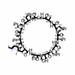 C/C=C/C[C@@H](C)CC1C(=O)N[C@@H](CC)C(=O)N(C)C(CO)C(=O)N(C)[C@@H](CC(C)C)C(=O)N[C@H](C(C)C)C(=O)N(C)[C@H](CC(C)C)C(=O)NC(C)C(=O)NCC(=O)N(C)C(CC(C)C)C(=O)N(C)[C@@H](CC(C)C)C(=O)N(C)[C@@H](C(C)C)C(=O)N1C